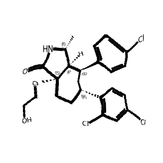 C[C@H]1NC(=O)[C@]2(OCCO)CC[C@@H](c3ccc(Cl)cc3Cl)[C@H](c3ccc(Cl)cc3)[C@H]12